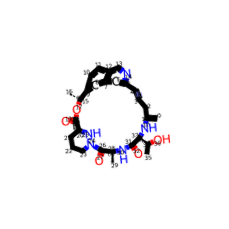 C=C1C/C=C/c2cc3cc(ccc3cn2)[C@@H](C)OC(=O)[C@@H]2CCCN(N2)C(=O)[C@H](C)NC(=O)[C@H](C(C)O)N1